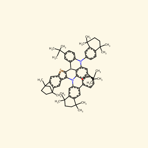 CC(C)(C)c1ccc2c(c1)B1c3sc4cc5c(cc4c3N(c3cc4c(cc3-c3ccccc3)C(C)(C)CCC4(C)C)c3cc(C(C)(C)C)cc(c31)N2c1ccc2c(c1)C(C)(C)CCC2(C)C)C1(C)CCC5(C)C1